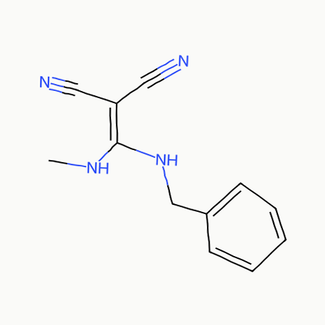 CNC(NCc1ccccc1)=C(C#N)C#N